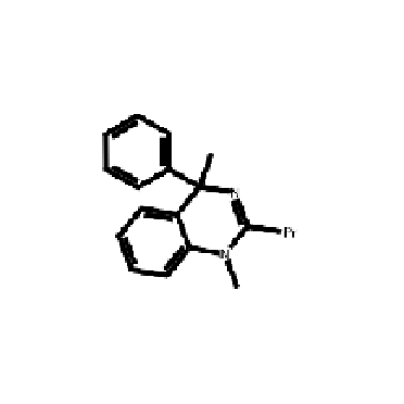 CC(C)C1=NC(C)(c2ccccc2)c2ccccc2N1C